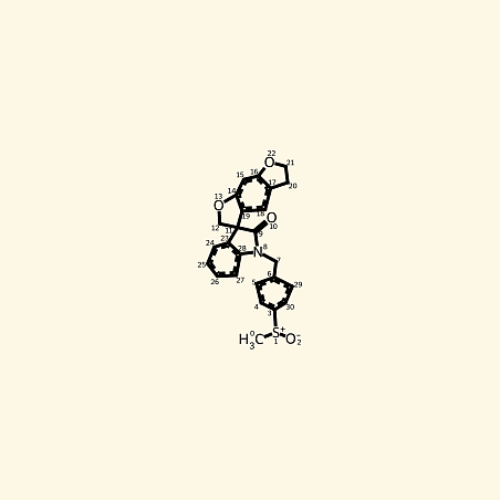 C[S+]([O-])c1ccc(CN2C(=O)C3(COc4cc5c(cc43)CCO5)c3ccccc32)cc1